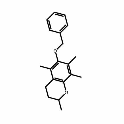 Cc1c(C)c2c(c(C)c1OCc1ccccc1)CCC(C)O2